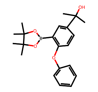 CC(C)(O)c1ccc(Oc2ccccc2)c(B2OC(C)(C)C(C)(C)O2)c1